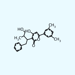 Cc1cc(C)cc(-c2cc(O)c(C(Cc3ccccc3)C(C)CO)c(=O)o2)c1